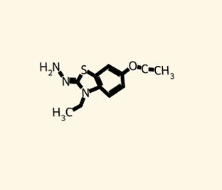 CCOc1ccc2c(c1)sc(=NN)n2CC